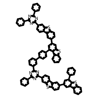 c1ccc(-c2nc(-c3ccccc3)nc(-c3ccc4c(c3)sc3ccc(-c5cc(-c6ccc(-c7cccc(-c8nc(-c9ccccc9)nc(-c9ccc%10c(c9)sc9ccc(-c%11cc(-c%12ccccc%12)c%12sc%13ccccc%13c%12c%11)cc9%10)n8)c7)cc6)c6c(c5)sc5ccccc56)cc34)n2)cc1